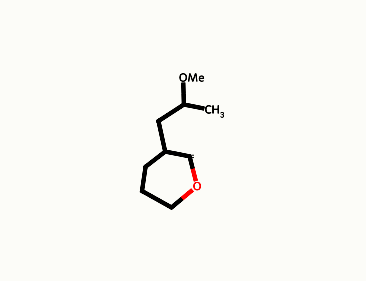 COC(C)CC1[C]OCCC1